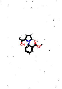 COC(=O)c1ccccc1N1CCCC1C(C)O